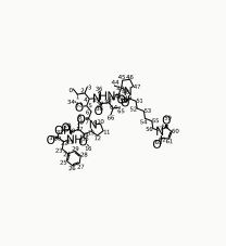 CCC(C)C(C(CC(=O)N1CCC[C@H]1C(OC)C(C)C(=O)NC(Cc1ccccc1)C(=O)O)OC)N(C)C(=O)C(NC(=O)[C@]1(C)CCCN1C(=O)CCCCCCN1C(=O)C=CC1=O)C(C)C